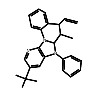 C=CC1c2ccccc2N2c3ncc(C(C)(C)C)cc3N(c3ccccc3)C2C1C